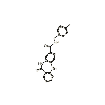 Cc1ccc(CNC(=O)c2ccc3c(c2)NC(=O)c2ccccc2N3)cc1